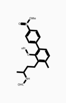 CCCOc1c(-c2ccc(S(=O)OC)cc2)ccc(C)c1CCC(C)NC=O